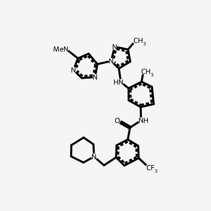 CNc1cc(-n2nc(C)cc2Nc2cc(NC(=O)c3cc(CN4CCCCC4)cc(C(F)(F)F)c3)ccc2C)ncn1